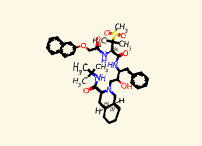 CC(C)(C)NC(=O)C1C[C@@H]2CCCC[C@@H]2CN1CC(O)C(Cc1ccccc1)NC(=O)[C@@H](NC(=O)COc1ccc2ccccc2c1)C(C)(C)S(C)(=O)=O